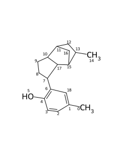 Cc1ccc(O)c(C2CCC3C4CC(C)C(C4)C23)c1